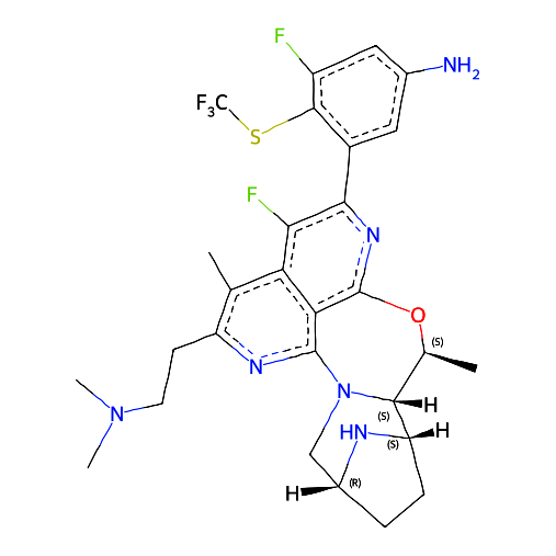 Cc1c(CCN(C)C)nc2c3c(nc(-c4cc(N)cc(F)c4SC(F)(F)F)c(F)c13)O[C@@H](C)[C@@H]1[C@@H]3CC[C@H](CN21)N3